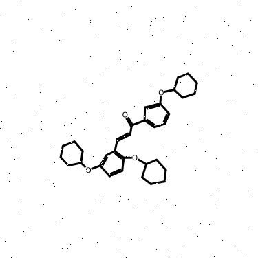 O=C(C=Cc1cc(OC2CCCCC2)ccc1OC1CCCCC1)c1cccc(OC2CCCCC2)c1